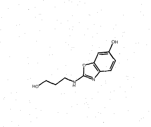 OCCCNc1nc2ccc(O)cc2o1